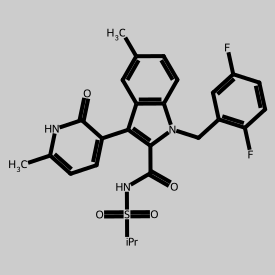 Cc1ccc2c(c1)c(-c1ccc(C)[nH]c1=O)c(C(=O)NS(=O)(=O)C(C)C)n2Cc1cc(F)ccc1F